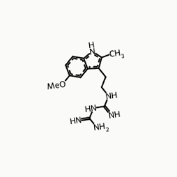 COc1ccc2[nH]c(C)c(CCNC(=N)NC(=N)N)c2c1